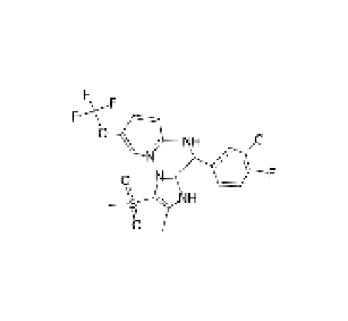 Cc1[nH]c(C(Nc2ccc(OC(F)(F)F)cn2)c2ccc(F)c(Cl)c2)nc1S(C)(=O)=O